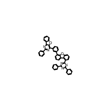 c1ccc(-c2nc(-c3ccccc3)nc(-c3cccc4oc5c(-c6cccc(-c7nc(-c8ccccc8)nc8c7oc7ccccc78)c6)cccc5c34)n2)cc1